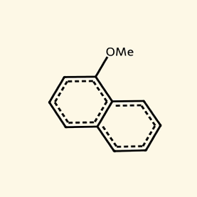 COc1cccc2ccccc12